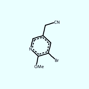 COc1ncc(CC#N)cc1Br